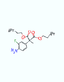 CC(C)CCOC(=O)C(C)(C(=O)OCCC(C)C)c1ccc(N)c(F)c1